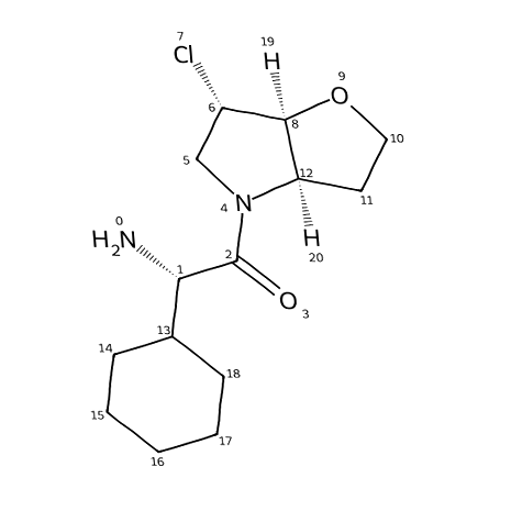 N[C@H](C(=O)N1C[C@H](Cl)[C@H]2OCC[C@H]21)C1CCCCC1